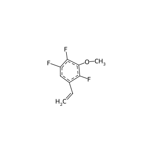 C=Cc1cc(F)c(F)c(OC)c1F